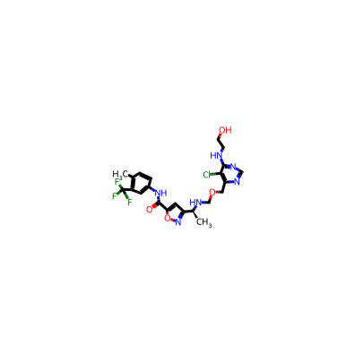 Cc1ccc(NC(=O)c2cc([C@H](C)NCOCc3ncnc(NCCO)c3Cl)no2)cc1C(F)(F)F